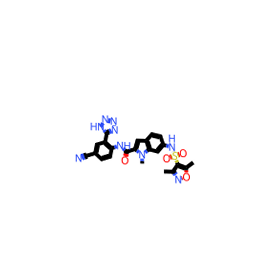 Cc1noc(C)c1S(=O)(=O)Nc1ccc2cc(C(=O)Nc3ccc(C#N)cc3-c3nnn[nH]3)n(C)c2c1